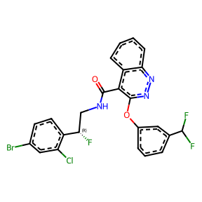 O=C(NC[C@H](F)c1ccc(Br)cc1Cl)c1c(Oc2cccc(C(F)F)c2)nnc2ccccc12